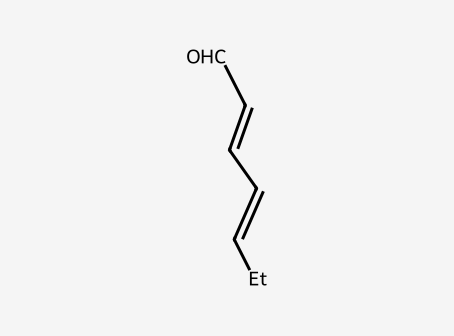 CCC=C/C=C/C=O